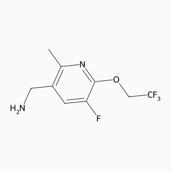 Cc1nc(OCC(F)(F)F)c(F)cc1CN